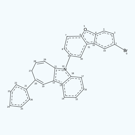 Brc1ccc2oc3ccc(-n4c5c(c6ccccc64)C=C(c4ccccc4)CC=C5)cc3c2c1